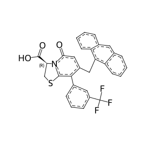 O=C(O)[C@@H]1CSc2c(-c3cccc(C(F)(F)F)c3)c(Cc3c4ccccc4cc4ccccc34)cc(=O)n21